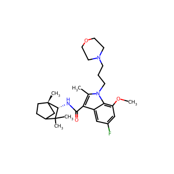 COc1cc(F)cc2c(C(=O)N[C@@H]3C(C)(C)C4CC[C@@]3(C)C4)c(C)n(CCCN3CCOCC3)c12